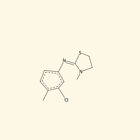 Cc1ccc(N=C2SCCN2C)cc1Cl